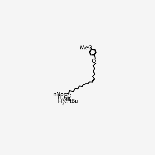 CCCCCCCCCC(CCCCCCCCC/C=C\CCCCCCOCc1ccc(OC)cc1)O[Si](C)(C)C(C)(C)C